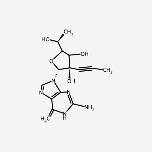 C=C1NC(N)=Nc2c1ncn2[C@@H]1OC([C@H](C)O)C(O)[C@]1(O)C#CC